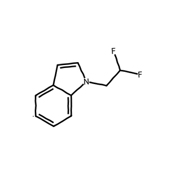 FC(F)Cn1ccc2c[c]ccc21